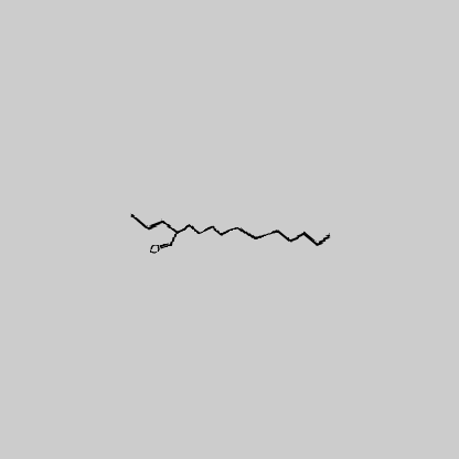 CCCCCCCCCCCC(C=O)CCC